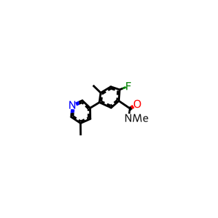 CNC(=O)c1cc(-c2cncc(C)c2)c(C)cc1F